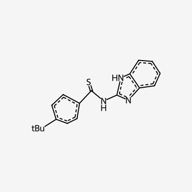 CC(C)(C)c1ccc(C(=S)Nc2nc3ccccc3[nH]2)cc1